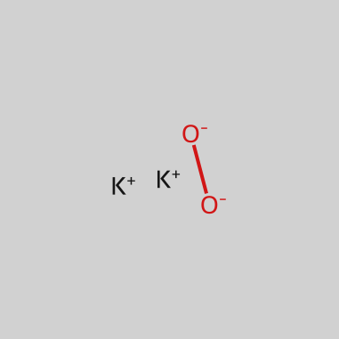 [K+].[K+].[O-][O-]